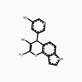 N#CC1=C(N)Oc2c(ccc3[nH]ccc23)C1c1cncc(C#N)c1